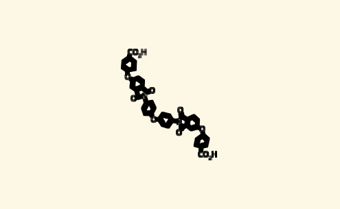 O=C(O)c1ccc(Oc2ccc3c(c2)C(=O)N(c2ccc(Oc4ccc(N5C(=O)c6ccc(Oc7ccc(C(=O)O)cc7)cc6C5=O)cc4)cc2)C3=O)cc1